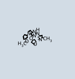 COc1cccc(-n2ccc3nc(Nc4cc(C)ns4)nc(OC4CCOCC4)c32)c1